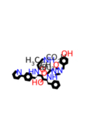 CC(C)(CNC(=O)O)CC(=O)N[C@@H](Cc1ccc(-c2ccccn2)cc1)C[C@H](O)[C@H](Cc1ccccc1)NC(=O)[C@@H](N1CCN(Cc2ccc(O)cc2)C1=O)C(C)(C)C